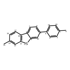 Cc1ccc(-c2ccc3c(c2)sc2cc(C)ccc23)cc1